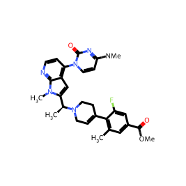 CNc1ccn(-c2ccnc3c2cc([C@H](C)N2CC=C(c4c(C)cc(C(=O)OC)cc4F)CC2)n3C)c(=O)n1